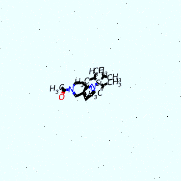 CC(=O)N1CCc2c(ccn2[Si](C(C)C)(C(C)C)C(C)C)C1